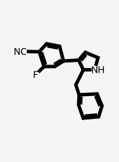 N#Cc1ccc(C2=CCNC2Cc2ccccc2)cc1F